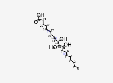 CCCCC/C=C/CC(O)C(O)C(O)/C=C/C/C=C/CCCC(=O)O